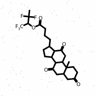 CC(F)(F)C(OC(=O)CCCC1CCC2C1C(=O)CC1C2C(=O)CC2CC(=O)CCC21C)C(F)(F)F